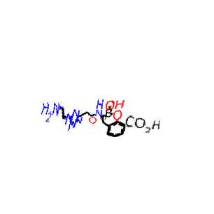 NCCn1nnc(CC(=O)N[C@H]2Cc3cccc(C(=O)O)c3OB2O)n1